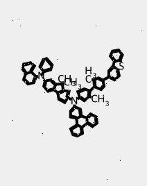 Cc1cc(-c2ccc3sc4ccccc4c3c2)ccc1-c1ccc(N(c2ccc3c(c2)C(C)(C)c2cc(N(c4ccccc4)c4cccc5ccccc45)ccc2-3)c2ccc3c4ccccc4c4ccccc4c3c2)cc1C